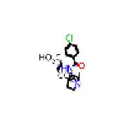 O=C(NC1CN2CCC1C2)c1ccc(Cl)cc1.O=C(O)/C=C/C(=O)O